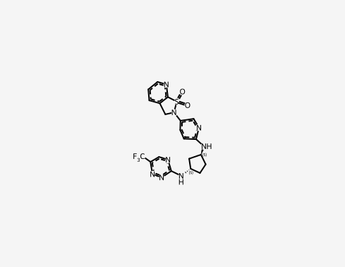 O=S1(=O)c2ncccc2CN1c1ccc(N[C@H]2CC[C@H](Nc3ncc(C(F)(F)F)nn3)C2)nc1